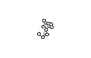 c1ccc(-c2cccc3c2sc2c(-c4cccc(-n5c6cccc7ccc8cc9c%10ccccc%10n(-c%10ccccn%10)c9c5c8c76)c4)cccc23)cc1